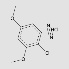 COc1ccc(Cl)c(OC)c1.Cl.N#N